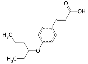 CCCC(CC)Oc1ccc(C=CC(=O)O)cc1